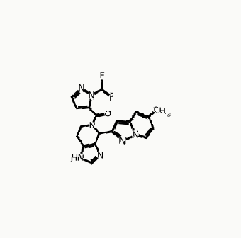 Cc1ccn2nc(C3c4nc[nH]c4CCN3C(=O)c3ccnn3C(F)F)cc2c1